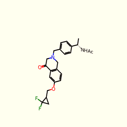 CC(=O)N[C@@H](C)c1ccc(CN2CC(=O)c3cc(OCC4CC4(F)F)ccc3C2)cc1